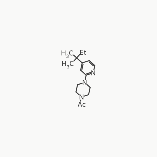 CCC(C)(C)c1ccnc(N2CCN(C(C)=O)CC2)c1